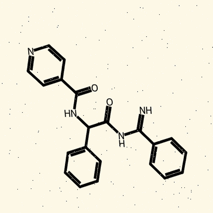 N=C(NC(=O)C(NC(=O)c1ccncc1)c1ccccc1)c1ccccc1